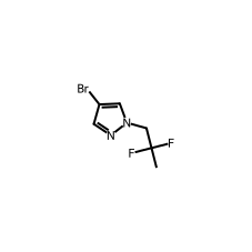 CC(F)(F)Cn1cc(Br)cn1